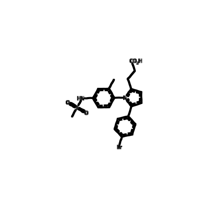 Cc1cc(NS(C)(=O)=O)ccc1-n1c(CCC(=O)O)ccc1-c1ccc(Br)cc1